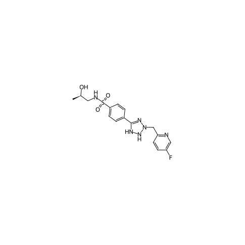 C[C@@H](O)CNS(=O)(=O)c1ccc(C2=NN(Cc3ccc(F)cn3)NN2)cc1